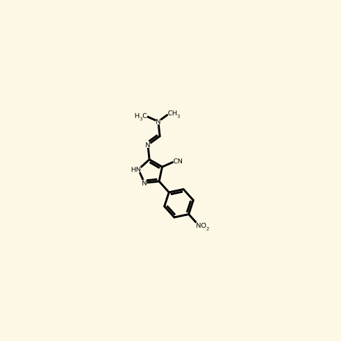 CN(C)C=Nc1[nH]nc(-c2ccc([N+](=O)[O-])cc2)c1C#N